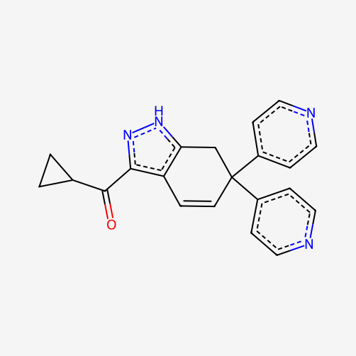 O=C(c1n[nH]c2c1C=CC(c1ccncc1)(c1ccncc1)C2)C1CC1